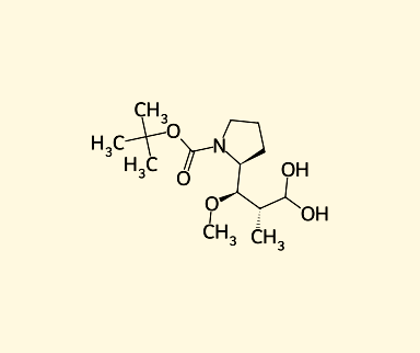 CO[C@H]([C@@H](C)C(O)O)[C@@H]1CCCN1C(=O)OC(C)(C)C